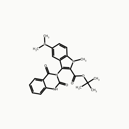 CN(C)c1ccc2c(c1)c(-n1c(=O)[nH]c3ccccc3c1=O)c(C(=O)OC(C)(C)C)n2C